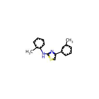 Cc1cccc(-c2csc(Nc3ccccc3C)n2)c1